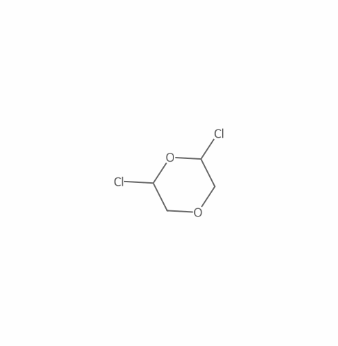 ClC1COCC(Cl)O1